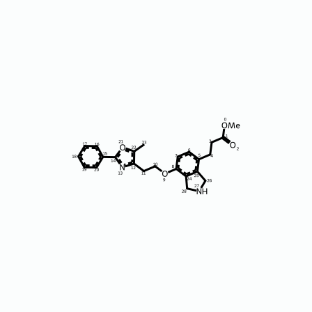 COC(=O)CCc1ccc(OCCc2nc(-c3ccccc3)oc2C)c2c1CNC2